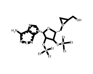 CC[Si](CC)(CC)OC1C(O[Si](CC)(CC)CC)[C@@H](CN2CC2CO)O[C@H]1n1cnc2c(N)ncnc21